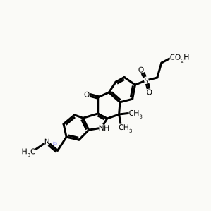 C/N=C/c1ccc2c3c([nH]c2c1)C(C)(C)c1cc(S(=O)(=O)CCC(=O)O)ccc1C3=O